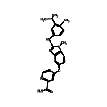 Cc1ccc(Nc2nc3cc(Oc4ccnc(C(N)=O)c4)ccc3n2C)cc1C(C)C